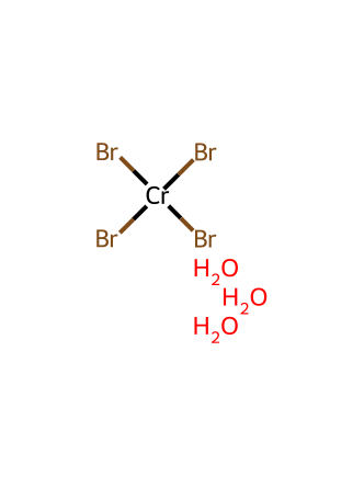 O.O.O.[Br][Cr]([Br])([Br])[Br]